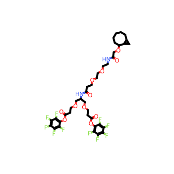 O=C(COC1CCCCCC2C=C21)NCCOCCOCCC(=O)NC(COCCC(=O)Oc1c(F)c(F)c(F)c(F)c1F)COCCC(=O)Oc1c(F)c(F)c(F)c(F)c1F